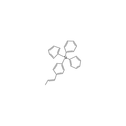 CC=Cc1ccc([Si](c2ccccc2)(c2ccccc2)c2ccccc2)cc1